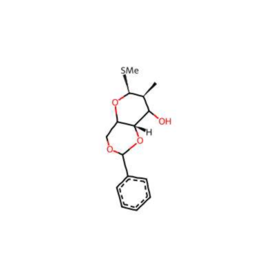 CS[C@@H]1OC2COC(c3ccccc3)O[C@H]2C(O)[C@@H]1C